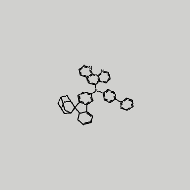 C1=CCC2C(=C1)c1cc(N(c3ccc(-c4ccccc4)cc3)c3cc4cccnc4c4ncccc34)ccc1C21C2CC3CC(C2)CC1C3